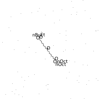 CCCCCCCCC(CCCCCCCC)OC(=O)CCCCCCCC(=O)CCCCCCCC(=O)OC(CC)CCCC